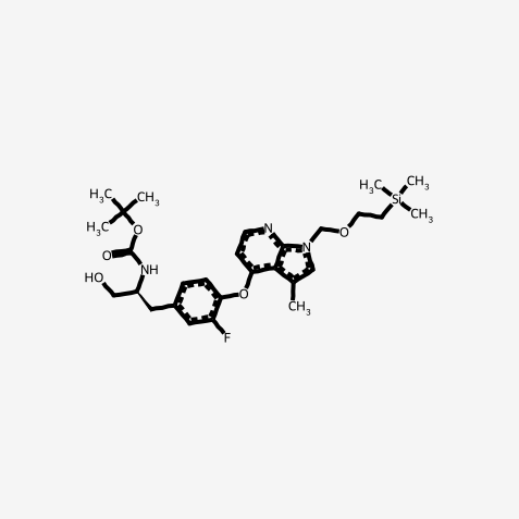 Cc1cn(COCC[Si](C)(C)C)c2nccc(Oc3ccc(C[C@@H](CO)NC(=O)OC(C)(C)C)cc3F)c12